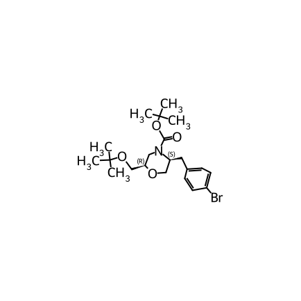 CC(C)(C)OC[C@H]1CN(C(=O)OC(C)(C)C)[C@@H](Cc2ccc(Br)cc2)CO1